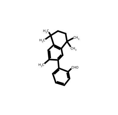 Cc1cc2c(cc1-c1ccccc1C=O)C(C)(C)CCC2(C)C